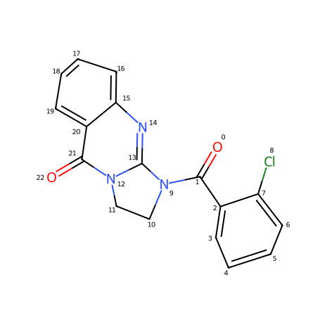 O=C(c1ccccc1Cl)N1CCn2c1nc1ccccc1c2=O